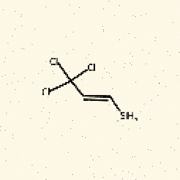 [SiH3]C=CC(Cl)(Cl)Cl